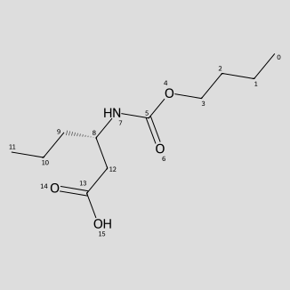 CCCCOC(=O)N[C@@H](CCC)CC(=O)O